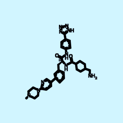 CN1CCN(c2ccc(-c3cccc(C[C@H](NC(=O)C4CCC(CN)CC4)C(=O)Nc4ccc(-c5nnn[nH]5)cc4)c3)cn2)CC1